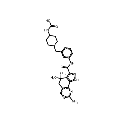 CC1(C)Cc2cnc(N)nc2-c2[nH]nc(C(=O)Nc3cccc(CN4CCC(NC(=O)O)CC4)c3)c21